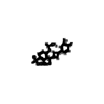 COc1c(S(C)(=O)=O)ccc(O[C@@H](C)C(F)(F)F)c1C(=O)N1CC(c2ccc(F)c(F)c2)C1